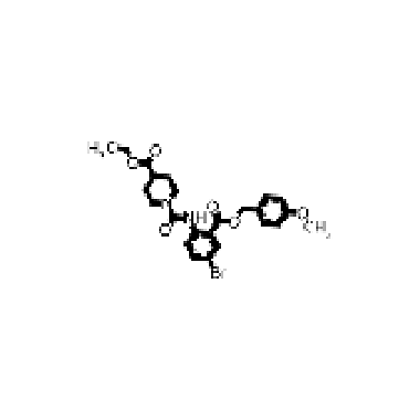 CCOC(=O)C1CCN(C(=O)Nc2ccc(Br)cc2C(=O)OCc2ccc(OC)cc2)CC1